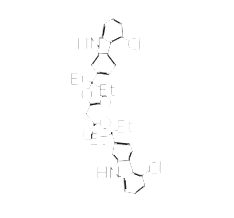 CCC(CC)(OC(=O)CC(=O)OC(CC)(CC)c1ccc2c(c1)[nH]c1cccc(Cl)c12)c1ccc2c(c1)[nH]c1cccc(Cl)c12